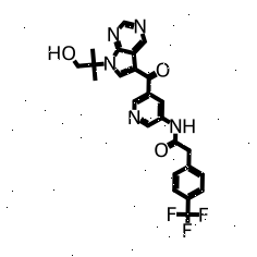 CC(C)(CO)n1cc(C(=O)c2cncc(NC(=O)Cc3ccc(C(F)(F)F)cc3)c2)c2cncnc21